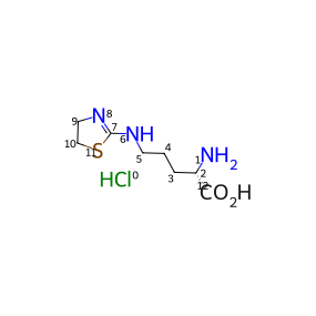 Cl.N[C@@H](CCCNC1=NCCS1)C(=O)O